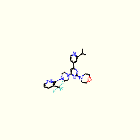 CC(C)c1cc(-c2cc(N3CCN(c4ncccc4C(F)(F)F)CC3)nc(N3CCOCC3)n2)ccn1